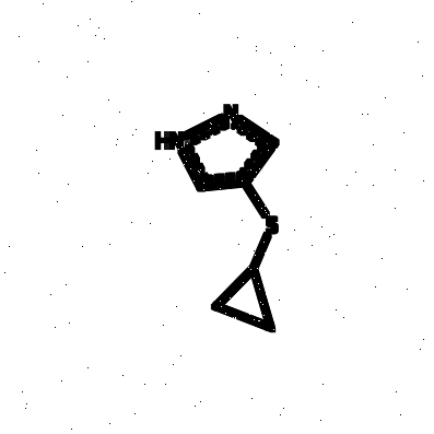 c1n[nH]cc1SC1CC1